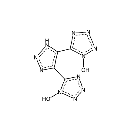 On1nnnc1-c1nn[nH]c1-c1nnnn1O